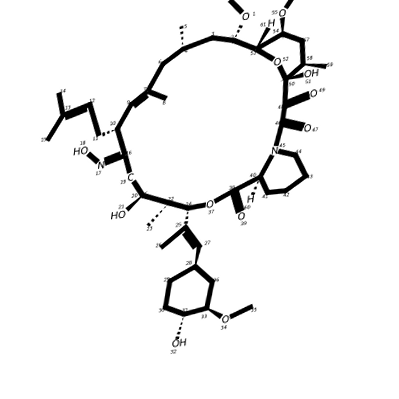 CO[C@H]1C[C@@H](C)C/C(C)=C/[C@@H](CC=C(C)C)/C(=N\O)C[C@H](O)[C@@H](C)[C@@H](/C(C)=C/[C@@H]2CC[C@@H](O)[C@H](OC)C2)OC(=O)[C@@H]2CCCCN2C(=O)C(=O)[C@]2(O)O[C@H]1[C@@H](OC)C[C@H]2C